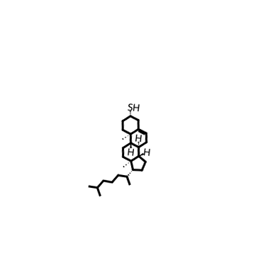 CC(C)CCCC(C)[C@H]1CC[C@H]2[C@@H]3CC=C4C[C@@H](S)CC[C@]4(C)[C@H]3CC[C@]12C